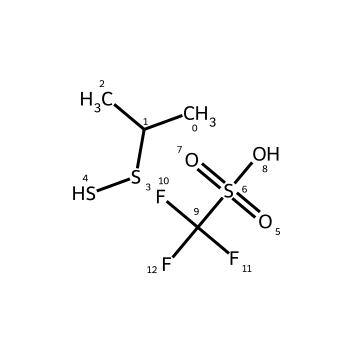 CC(C)SS.O=S(=O)(O)C(F)(F)F